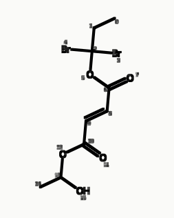 CCC(Br)(Br)OC(=O)/C=C/C(=O)OC(C)O